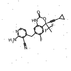 CC(F)(F)[C@@]1(C#CC2CC2)OC(=O)Nc2cc(Cc3ccnc(N)c3C#N)c(F)cc21